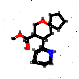 COC(=O)C1COC2(CCCC2)CC1c1ccccn1